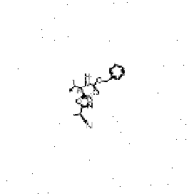 CC(C#N)c1nnc([C@@H](NC(=O)OCc2ccccc2)C(C)C)o1